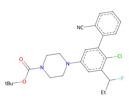 CCC(F)c1cc(N2CCN(C(=O)OC(C)(C)C)CC2)cc(-c2ccccc2C#N)c1Cl